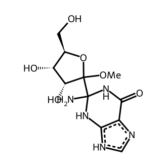 COC1(C2(N)NC(=O)c3nc[nH]c3N2)O[C@H](CO)[C@@H](O)[C@H]1O